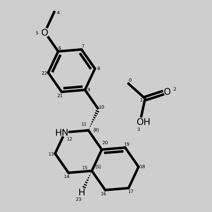 CC(=O)O.COc1ccc(C[C@H]2NCC[C@@H]3CCCC=C32)cc1